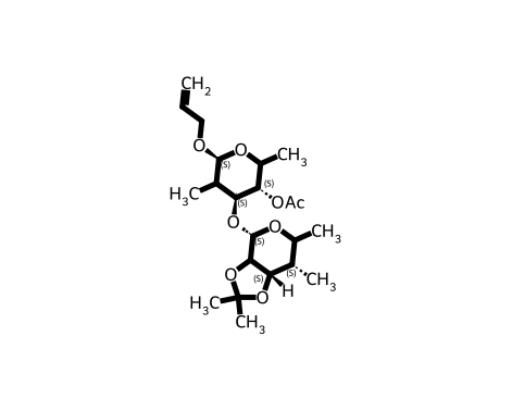 C=CCO[C@H]1OC(C)[C@H](OC(C)=O)[C@@H](O[C@@H]2OC(C)[C@H](C)[C@@H]3OC(C)(C)OC23)C1C